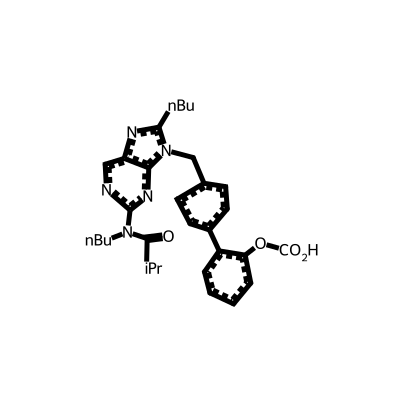 CCCCc1nc2cnc(N(CCCC)C(=O)C(C)C)nc2n1Cc1ccc(-c2ccccc2OC(=O)O)cc1